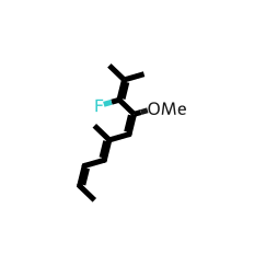 C\C=C/C=C(C)/C=C(/OC)C(F)=C(C)C